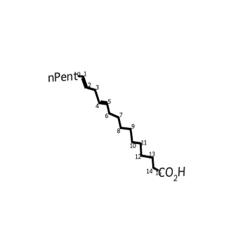 CCCCCC=CCC=CCCCCCCCCCC(=O)O